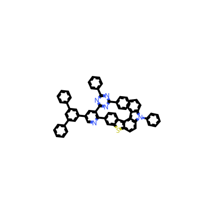 c1ccc(-c2cc(-c3ccccc3)cc(-c3cnc(-c4ccc5c(c4)sc4ccc6c(c7ccccc7n6-c6ccccc6)c45)c(-c4nc(-c5ccccc5)nc(-c5ccccc5)n4)c3)c2)cc1